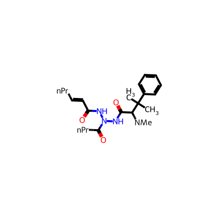 CCCC=CC(=O)NN(NC(=O)C(NC)C(C)(C)c1ccccc1)C(=O)CCC